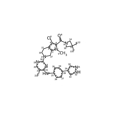 Cn1c2c(c(Cl)c1C(=O)N1CC(F)(F)C1)CCN(c1ncc(F)c(Nc3ccc(-c4cn[nH]c4)cc3)n1)C2